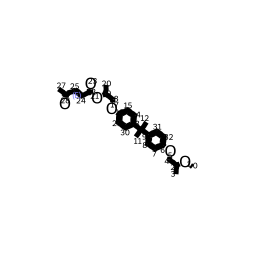 COC(C)COc1ccc(C(C)(C)c2ccc(OCC(C)OC(=O)/C=C/C(C)=O)cc2)cc1